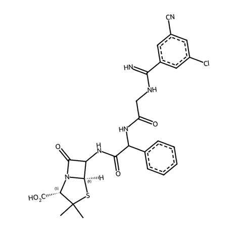 CC1(C)S[C@@H]2C(NC(=O)C(NC(=O)CNC(=N)c3cc(Cl)cc(C#N)c3)c3ccccc3)C(=O)N2[C@H]1C(=O)O